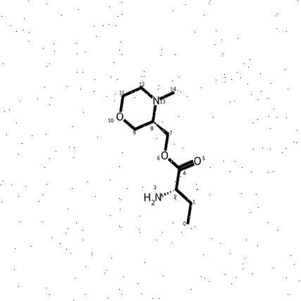 CC[C@H](N)C(=O)OC[C@H]1COCCN1C